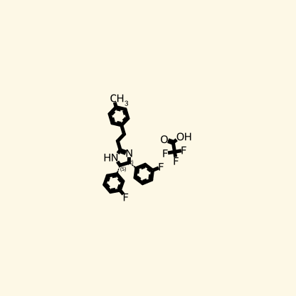 Cc1ccc(CCC2=N[C@H](c3cccc(F)c3)[C@H](c3cccc(F)c3)N2)cc1.O=C(O)C(F)(F)F